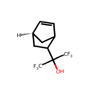 OC(C1C[C@H]2C=CC1C2)(C(F)(F)F)C(F)(F)F